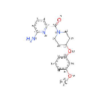 Nc1cccc(C(=O)N2CCC(Oc3cccc(OC(F)(F)F)c3)CC2)n1